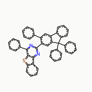 c1ccc(-c2cc3c(cc2-c2nc(-c4ccccc4)c4sc5ccccc5c4n2)C(c2ccccc2)(c2ccccc2)c2ccccc2-3)cc1